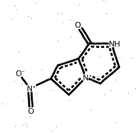 O=c1[nH]ccn2cc([N+](=O)[O-])cc12